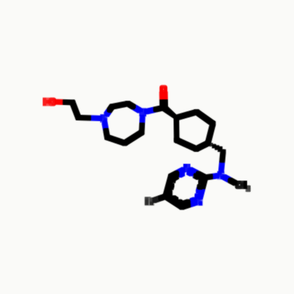 CCc1cnc(N(C)C[C@H]2CC[C@H](C(=O)N3CCCN(CCO)CC3)CC2)nc1